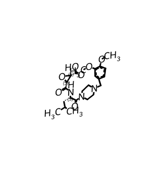 COc1ccc(CN2CCN(C(=O)[C@H](CC(C)C)NC(=O)[C@H]3O[C@@H]3C(=O)O)CC2)cc1OC